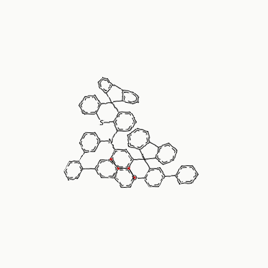 c1ccc(-c2ccc3c(c2)C2(c4cc(N(c5cccc(-c6ccccc6-c6ccc7ccccc7c6)c5)c5cccc6c5Sc5ccccc5C65c6ccccc6-c6ccccc65)ccc4O3)c3ccccc3-c3ccccc32)cc1